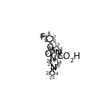 O=C([C@@H]1[C@H](Oc2cccc(F)c2)CCN1C(=O)O)N1CCCN(C2CCC2)CC1